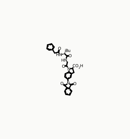 CC[C@H](C)[C@H](NC(=O)Cc1ccccc1)C(=O)NCC(=O)N1c2ccc(N3C(=O)c4ccccc4C3=O)cc2CC1C(=O)O